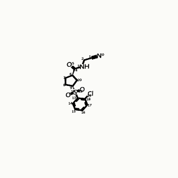 N#CCNC(=O)[C@@H]1CC[C@@H](S(=O)(=O)c2ccccc2Cl)C1